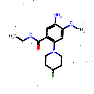 CCNC(=O)c1cc(N)c(NC)cc1N1CCC(F)CC1